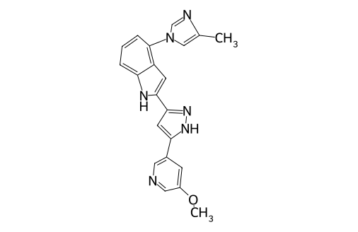 COc1cncc(-c2cc(-c3cc4c(-n5cnc(C)c5)cccc4[nH]3)n[nH]2)c1